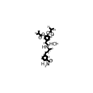 CC(CCc1cccc(C(N)=O)c1)NCCc1ccc(OC(=O)C(C)C)c(OC(=O)C(C)C)c1.Cl